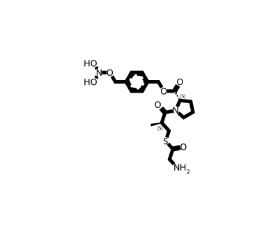 C[C@H](CSC(=O)CN)C(=O)N1CCC[C@H]1C(=O)OCc1ccc(CON(O)O)cc1